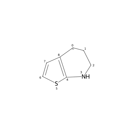 [C]1CCNc2sccc21